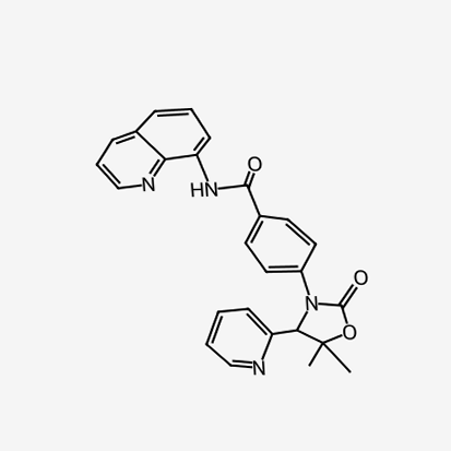 CC1(C)OC(=O)N(c2ccc(C(=O)Nc3cccc4cccnc34)cc2)C1c1ccccn1